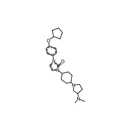 CN(C)C1CCN(C2CCC(n3ccn(-c4ccc(OC5CCCC5)cc4)c3=O)CC2)C1